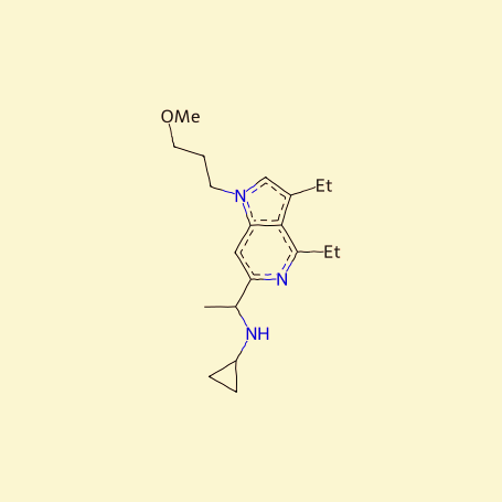 CCc1cn(CCCOC)c2cc(C(C)NC3CC3)nc(CC)c12